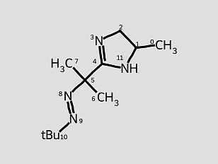 CC1CN=C(C(C)(C)N=NC(C)(C)C)N1